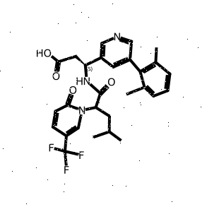 Cc1cccc(C)c1-c1cncc([C@H](CC(=O)O)NC(=O)C(CC(C)C)n2cc(C(F)(F)F)ccc2=O)c1